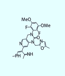 COc1cc(OC)c(F)c(N2Cc3cnc(/C(=C/PC)C(C)=N)cc3N(Cc3ncc(C)o3)C2=O)c1F